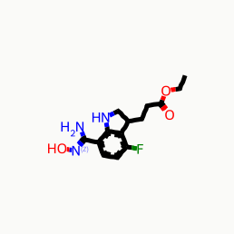 CCOC(=O)CCC1CNc2c(/C(N)=N/O)ccc(F)c21